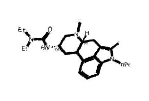 CCCn1c(I)c2c3c(cccc31)C1C[C@H](NC(=O)N(CC)CC)CN(C)[C@@H]1C2